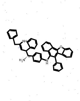 N/C(=C\C(c1ccccc1)[C@@H](N)c1ccc(Nc2c(-c3ccccc3)c3c4ccccc4oc3c3ccccc23)cc1)Cc1ccccc1